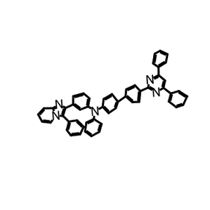 c1ccc(-c2cc(-c3ccccc3)nc(-c3ccc(-c4ccc(N(c5ccccc5)c5cccc(-c6nc7ccccn7c6-c6ccccc6)c5)cc4)cc3)n2)cc1